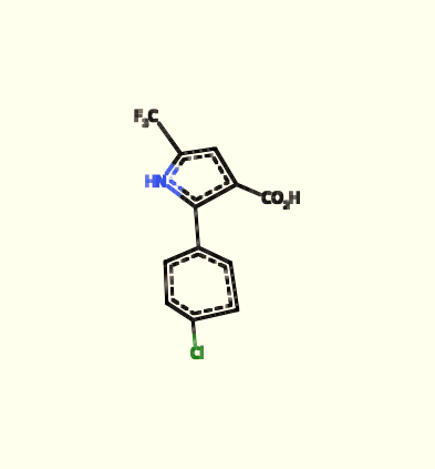 O=C(O)c1cc(C(F)(F)F)[nH]c1-c1ccc(Cl)cc1